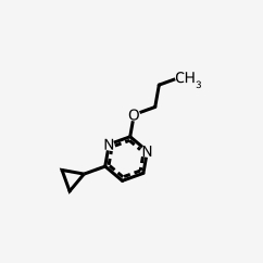 CCCOc1nccc(C2CC2)n1